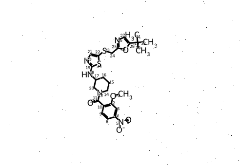 COc1cc([N+](=O)[O-])ccc1C(=O)N1CCCC(Nc2ncc(SCc3ncc(C(C)(C)C)o3)s2)C1